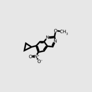 COc1ncc2cc([N+](=O)[O-])c(C3CC3)cc2n1